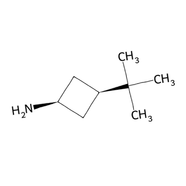 CC(C)(C)[C@H]1C[C@@H](N)C1